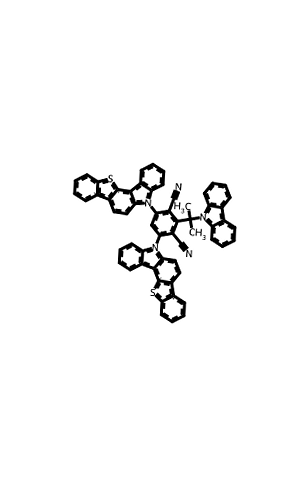 CC(C)(c1c(C#N)c(-n2c3ccccc3c3c4sc5ccccc5c4ccc32)cc(-n2c3ccccc3c3c4sc5ccccc5c4ccc32)c1C#N)n1c2ccccc2c2ccccc21